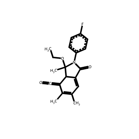 CCOC1(C)C2C(=C=O)C(C)=C(C)C=C2C(=O)N1c1ccc(F)cc1